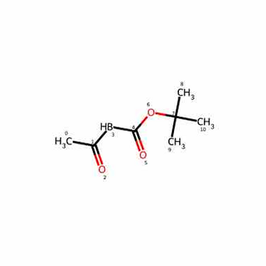 CC(=O)BC(=O)OC(C)(C)C